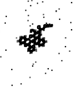 COCC(=O)N1C=C(c2ccccc2)N(N(C(C)=O)[C@@H](Cc2ccccc2)C(=O)C2=NCCO2)C(=O)C1C(C)C